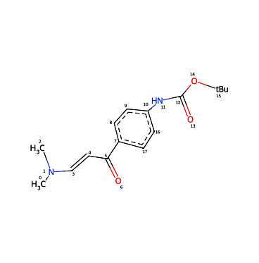 CN(C)/C=C/C(=O)c1ccc(NC(=O)OC(C)(C)C)cc1